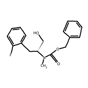 CN(C(=O)OCc1ccccc1)[C@@H](CO)Cc1ccccc1F